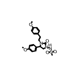 COc1ccc(CCN2C(=O)N(NS(C)(=O)=O)CC2c2ccc(OC)cc2)cc1